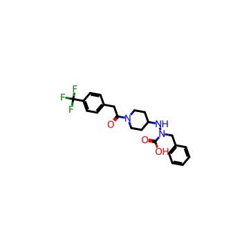 O=C(Cc1ccc(C(F)(F)F)cc1)N1CCC(NN(Cc2ccccc2)C(=O)O)CC1